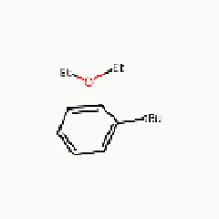 CC(C)(C)c1ccccc1.CCOCC